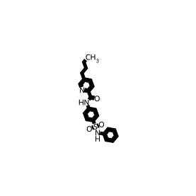 CCCCc1ccc(C(=O)Nc2ccc(S(=O)(=O)Nc3ccccc3)cc2)nc1